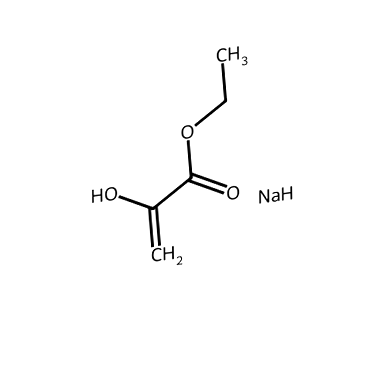 C=C(O)C(=O)OCC.[NaH]